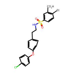 CCc1ccc(S(=O)(=O)NCCc2ccc(Oc3ccc(Cl)cc3)cc2)cc1C(=O)O